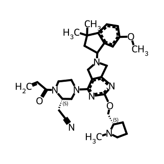 C=CC(=O)N1CCN(c2nc(OC[C@@H]3CCCN3C)nc3c2CN(C2CC(C)(C)c4ccc(OC)cc42)C3)C[C@@H]1CC#N